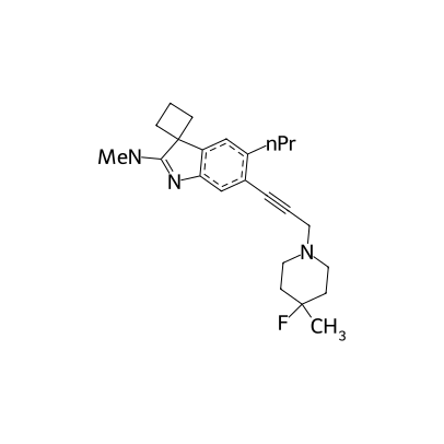 CCCc1cc2c(cc1C#CCN1CCC(C)(F)CC1)N=C(NC)C21CCC1